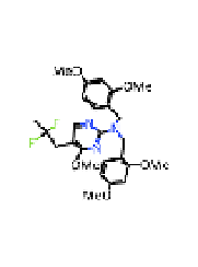 COc1ccc(CN(Cc2ccc(OC)cc2OC)c2ncc(CC(C)(F)F)c(OC)n2)c(OC)c1